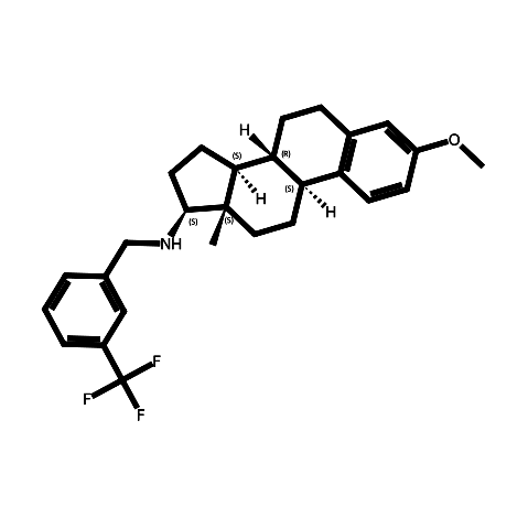 COc1ccc2c(c1)CC[C@@H]1[C@@H]2CC[C@]2(C)[C@@H](NCc3cccc(C(F)(F)F)c3)CC[C@@H]12